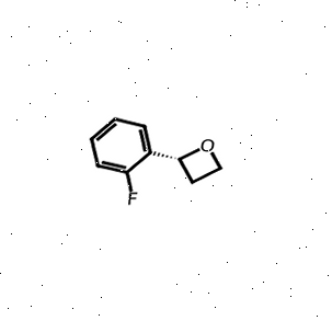 Fc1ccccc1[C@H]1CCO1